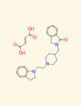 O=C(O)C=CC(=O)O.O=C1c2ccccc2CN1CC1CCN(CCN2CCc3ccccc32)CC1